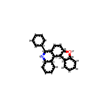 c1ccc(-c2nc3ccccc3c3c2ccc2oc4ccccc4c23)cc1